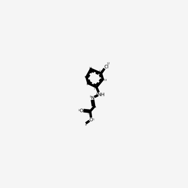 COC(=O)C=NNc1cccc(Cl)c1